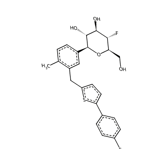 Cc1ccc([C@@H]2O[C@H](CO)[C@@H](F)[C@H](O)[C@H]2O)cc1Cc1ccc(-c2ccc(F)cc2)s1